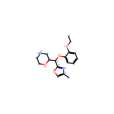 CCOc1ccccc1OC(c1nc(C)co1)C1CNCCO1